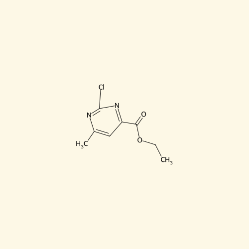 CCOC(=O)c1cc(C)nc(Cl)n1